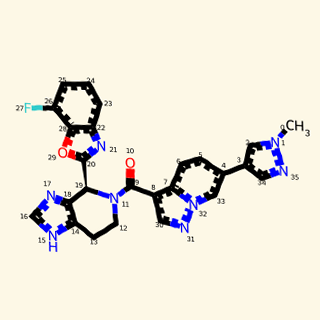 Cn1cc(-c2ccc3c(C(=O)N4CCc5[nH]cnc5[C@H]4c4nc5cccc(F)c5o4)cnn3c2)cn1